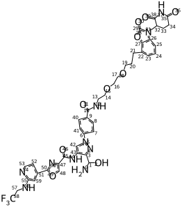 NC(O)c1nn(-c2ccc(C(=O)NCCOCCOCCCc3cccc4c3oc(=O)n4C3CCC(=O)NC3=O)cc2)cc1NC(=O)c1coc(-c2ccnc(NCC(F)(F)F)c2)n1